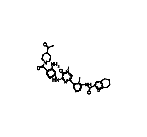 CC(=O)C1CCN(C(=O)c2ccc(Nc3nc(-c4cccc(NC(=O)c5cc6c(s5)CCCC6)c4C)cn(C)c3=O)cc2N)CC1